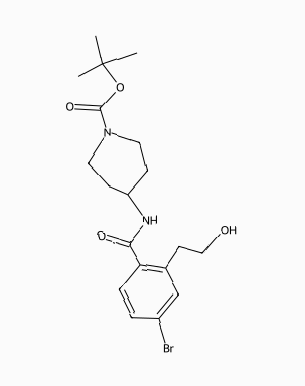 CC(C)(C)OC(=O)N1CCC(NC(=O)c2ccc(Br)cc2CCO)CC1